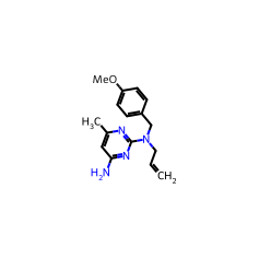 C=CCN(Cc1ccc(OC)cc1)c1nc(C)cc(N)n1